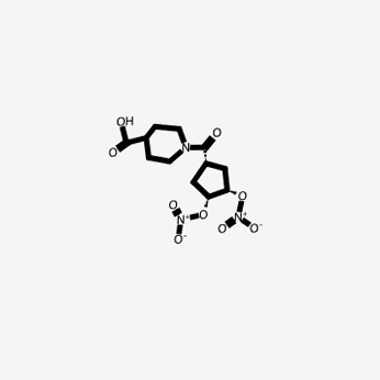 O=C(O)C1CCN(C(=O)[C@@H]2C[C@H](O[N+](=O)[O-])[C@H](O[N+](=O)[O-])C2)CC1